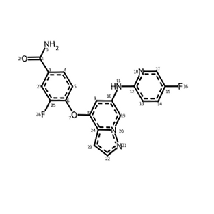 NC(=O)c1ccc(Oc2cc(Nc3ccc(F)cn3)cn3nccc23)c(F)c1